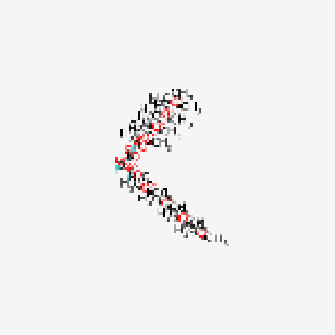 CC[O+](CC)CC.CC[O+](CC)CC.CC[O+](CC)CC.CC[O+](CC)CC.CC[O+](CC)CC.CC[O+](CC)CC.CC[O+](CC)CC.CC[O+](CC)CC.[O-]B([O-])F.[O-]B([O-])F.[O-]B([O-])F.[O-]B([O-])F